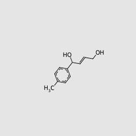 Cc1ccc(C(O)C=CCO)cc1